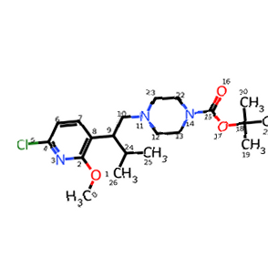 COc1nc(Cl)ccc1C(CN1CCN(C(=O)OC(C)(C)C)CC1)C(C)C